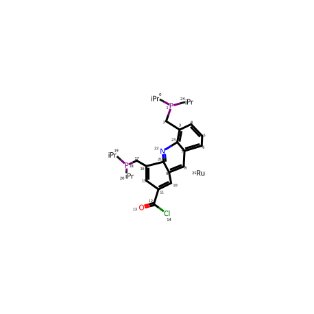 CC(C)P(Cc1cccc2cc3cc(C(=O)Cl)cc(CP(C(C)C)C(C)C)c3nc12)C(C)C.[Ru]